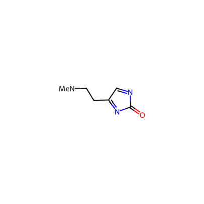 CNCCC1=NC(=O)N=C1